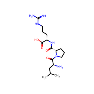 CC(C)C[C@H](N)C(=O)N1CCC[C@H]1C(=O)N[C@@H](CCCNC(=N)N)C(=O)O